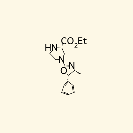 CCOC(=O)[C@@H]1CN(C2=N[C@@H](C)[C@H](c3ccccc3)O2)CCN1